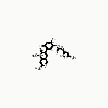 CNc1cc2c(cn1)cc(-c1cc(NC(=O)Nc3cc(C(C)(C)C)on3)c(F)cc1Cl)c(=O)n2C